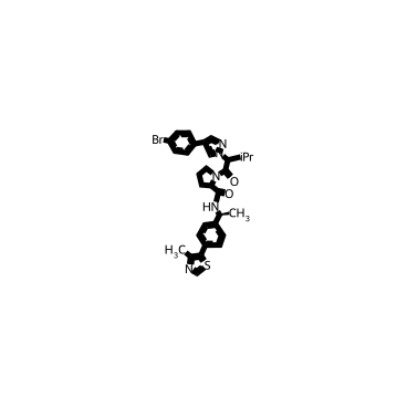 Cc1ncsc1-c1ccc([C@H](C)NC(=O)C2CCCN2C(=O)C(C(C)C)n2cc(-c3ccc(Br)cc3)cn2)cc1